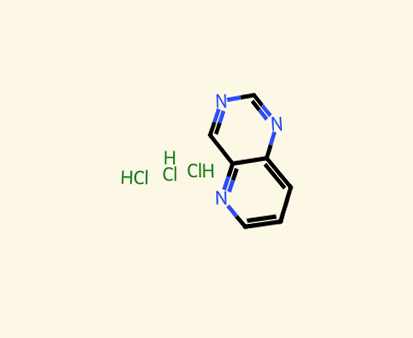 Cl.Cl.Cl.c1cnc2cncnc2c1